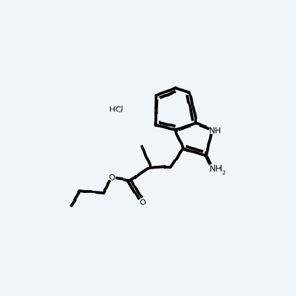 CCCOC(=O)C(C)Cc1c(N)[nH]c2ccccc12.Cl